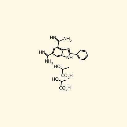 CC(O)C(=O)O.CC(O)C(=O)O.N=C(N)c1cc(C(=N)N)c2cc(-c3ccccc3)[nH]c2c1